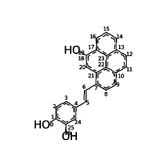 Oc1ccc(C=Cc2ccc3ccc4cccc5c(O)cc2c3c45)cc1O